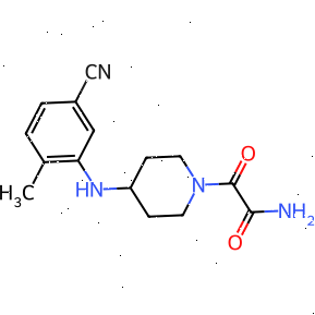 Cc1ccc(C#N)cc1NC1CCN(C(=O)C(N)=O)CC1